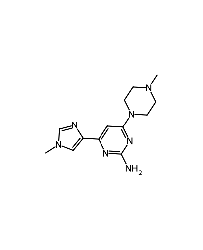 CN1CCN(c2cc(-c3cn(C)cn3)nc(N)n2)CC1